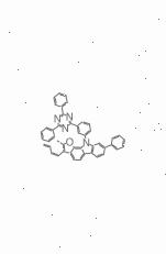 C=C/C=C\c1c(C)oc2c1ccc1c3ccc(-c4ccccc4)cc3n(-c3cccc(-c4nc(-c5ccccc5)nc(-c5ccccc5)n4)c3)c12